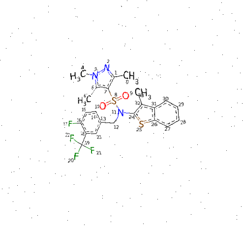 Cc1nn(C)c(C)c1S(=O)(=O)N(Cc1ccc(F)c(C(F)(F)F)c1)c1sc2ccccc2c1C